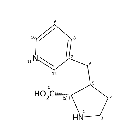 O=C(O)[C@H]1NCCC1Cc1cccnc1